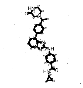 CC(c1ccc(-c2cccn3nc(Nc4ccc(C(=O)NC5CC5)cc4)nc23)cc1)N1CCNC(=O)C1